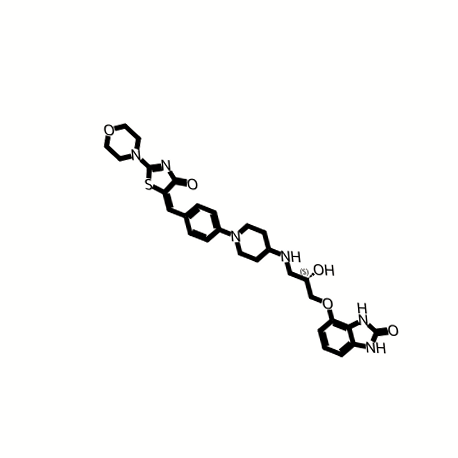 O=C1N=C(N2CCOCC2)SC1=Cc1ccc(N2CCC(NC[C@H](O)COc3cccc4[nH]c(=O)[nH]c34)CC2)cc1